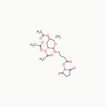 CC(=O)O[C@@H]1[C@@H](OC(C)=O)[C@H](C)O[C@@H](OCCCC(=O)ON2C(=O)CCC2=O)[C@@H]1OC(C)=O